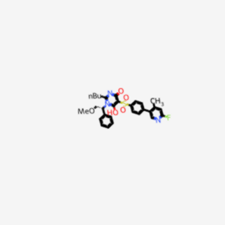 CCCCc1nc(=O)c(S(=O)(=O)c2ccc(-c3cnc(F)cc3C)cc2)c(O)n1[C@@H](COC)c1ccccc1